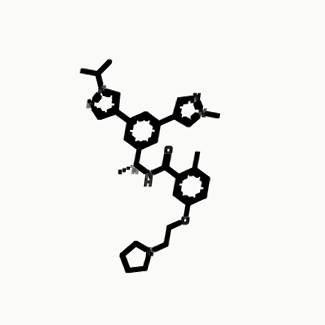 Cc1ccc(OCCN2CCCC2)cc1C(=O)N[C@H](C)c1cc(-c2cnn(C)c2)cc(-c2cnn(C(C)C)c2)c1